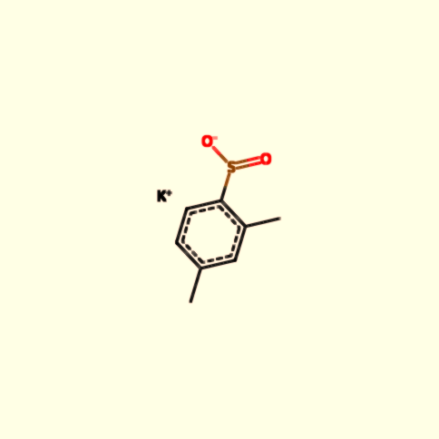 Cc1ccc(S(=O)[O-])c(C)c1.[K+]